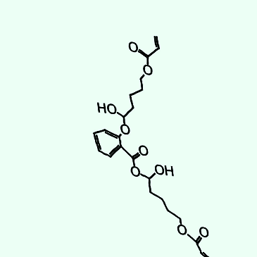 C=CC(=O)OCCCCC(O)OC(=O)c1ccccc1OC(O)CCCCOC(=O)C=C